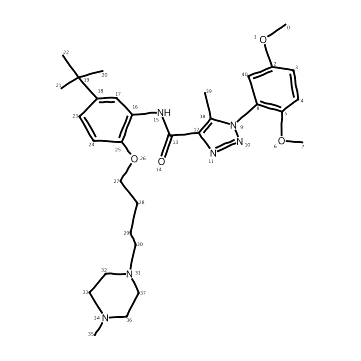 COc1ccc(OC)c(-n2nnc(C(=O)Nc3cc(C(C)(C)C)ccc3OCCCCN3CCN(C)CC3)c2C)c1